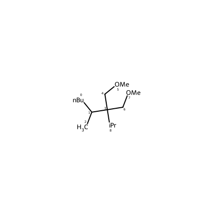 CCCCC(C)C(COC)(COC)C(C)C